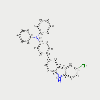 Clc1ccc2[nH]c3ccc(-c4ccc(N(c5ccccc5)c5ccccc5)cc4)cc3c2c1